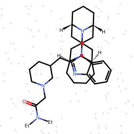 CCN(CC)C(=O)CN1CCCC(Cc2nc3ccccc3n2C2C[C@H]3CCC[C@@H](C2)N3C2C[C@H]3CCCC[C@@H](C2)C3)C1